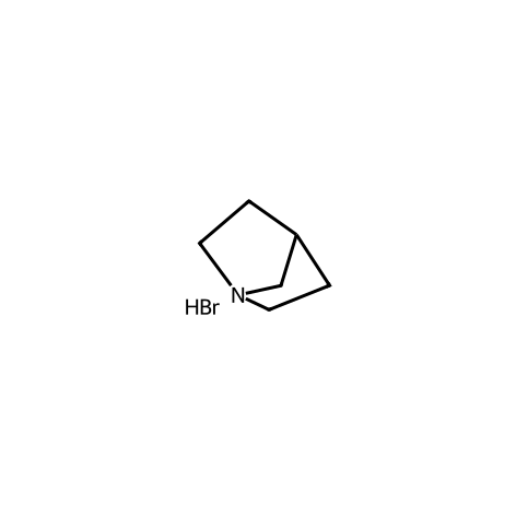 Br.C1CN2CCC1C2